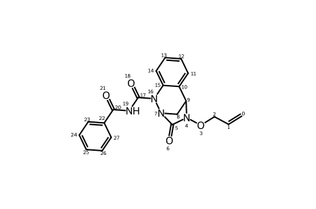 C=CCON1C(=O)N2CC1c1ccccc1N2C(=O)NC(=O)c1ccccc1